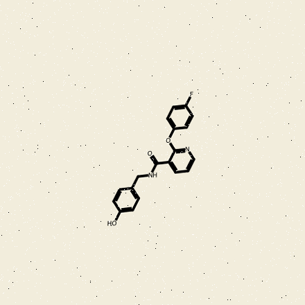 O=C(NCc1ccc(O)cc1)c1cccnc1Oc1ccc(F)cc1